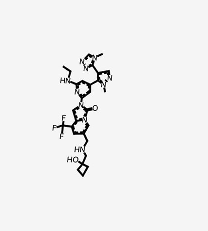 CCNc1cc(-c2c(-c3nncn3C)cnn2C)cc(-n2cc3c(C(F)(F)F)cc(CNCC4(O)CCC4)cn3c2=O)n1